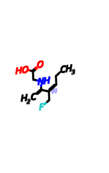 C=C(NCC(=O)O)/C(=C\CC)CF